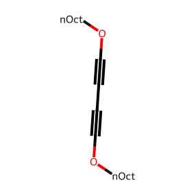 CCCCCCCCOC#CC#COCCCCCCCC